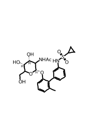 CC(=O)NC1[C@H](Oc2cccc(C)c2-c2cccc(NS(=O)(=O)C3CC3)c2)OC(CO)[C@H](O)[C@@H]1O